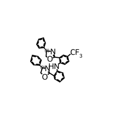 FC(F)(F)c1ccc(Nc2ccccc2C2=N[C@H](c3ccccc3)CO2)c(C2=N[C@H](c3ccccc3)CO2)c1